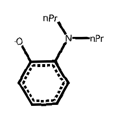 CCCN(CCC)c1ccccc1[O]